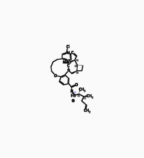 C=CC[C@H](C)[C@@H](C)/[SH](=O)=N\C(=O)c1ccc2c(c1)N(C[C@@H]1CC[C@H]1[C@H](C=C)OC)Cc1ccc(Cl)cc1CCCCO2